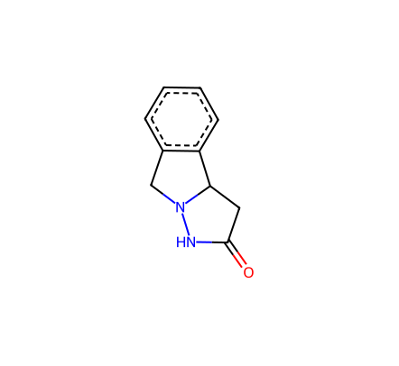 O=C1CC2c3ccccc3CN2N1